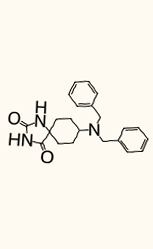 O=C1NC(=O)C2(CCC(N(Cc3ccccc3)Cc3ccccc3)CC2)N1